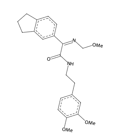 COC/N=C(\C(=O)NCCc1ccc(OC)c(OC)c1)c1ccc2c(c1)CCC2